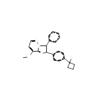 COC1=CC=NN2C1=NC(c1ccc(C3(N)CCC3)cc1)C2c1ccccc1